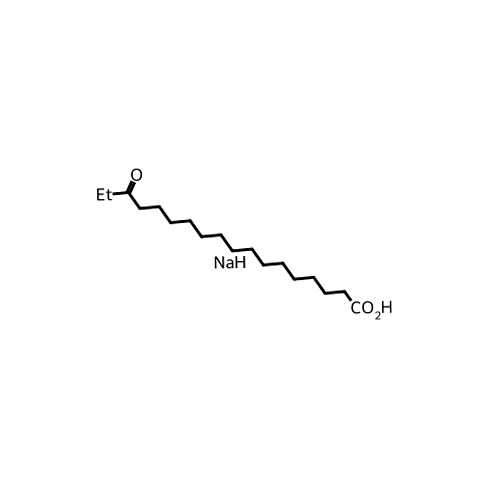 CCC(=O)CCCCCCCCCCCCCCC(=O)O.[NaH]